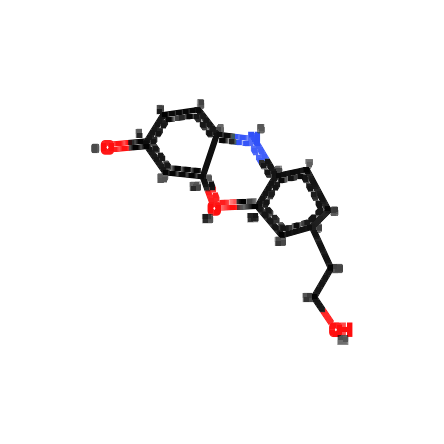 O=c1ccc2nc3ccc(CCO)cc3oc-2c1